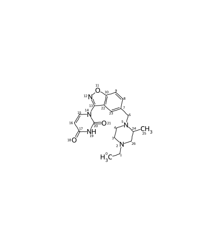 CCN1CCN(Cc2ccc3onc(-n4ccc(=O)[nH]c4=O)c3c2)C(C)C1